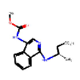 C[C@@H](CC(=O)O)Nc1ncc(NC(=O)OC(C)(C)C)c2ccccc12